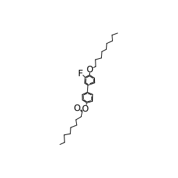 CCCCCCCCCOc1ccc(-c2ccc(OC(=O)CCCCCCCC)cc2)cc1F